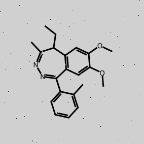 CCC1C(C)=NN=C(c2ccccc2C)c2cc(OC)c(OC)cc21